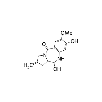 C=C1CC2C(O)Nc3cc(O)c(OC)cc3C(=O)N2C1